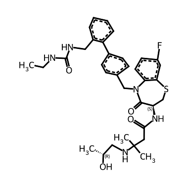 CCNC(=O)NCc1ccccc1-c1ccc(CN2C(=O)[C@H](NC(=O)CC(C)(C)NC[C@@H](C)O)CSc3cc(F)ccc32)cc1